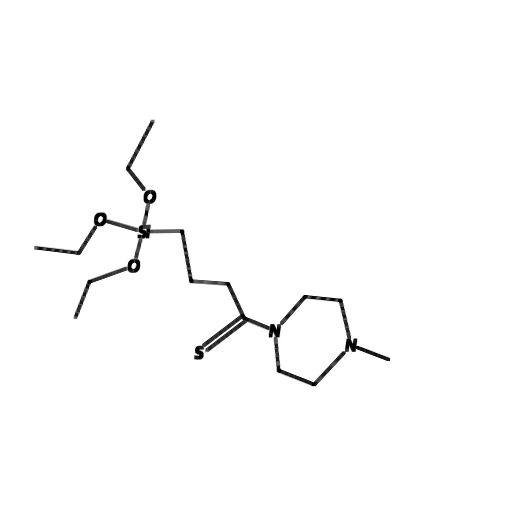 CCO[Si](CCCC(=S)N1CCN(C)CC1)(OCC)OCC